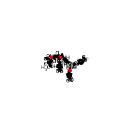 C[C@@H](O)[C@H]1C(=O)N2C(C(=O)O)=C(S[C@H]3C[C@@H](C(=O)N4CC(NC(=O)CC(O)CNC(=NC(=O)OCc5ccc([N+](=O)[O-])cc5)NC(=O)OCc5ccc([N+](=O)[O-])cc5)C4)N(C(=O)OCc4ccc([N+](=O)[O-])cc4)C3)[C@H](C)[C@H]12